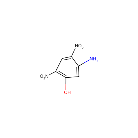 Nc1cc(O)c([N+](=O)[O-])cc1[N+](=O)[O-]